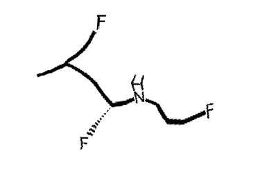 CC(F)[C@@H](F)NCF